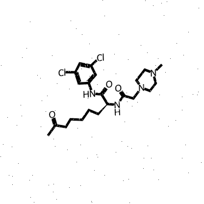 CC(=O)CCCCC[C@H](NC(=O)CN1CCN(C)CC1)C(=O)Nc1cc(Cl)cc(Cl)c1